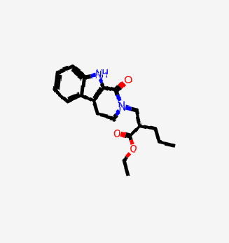 CCCC(CN1CCc2c([nH]c3ccccc23)C1=O)C(=O)OCC